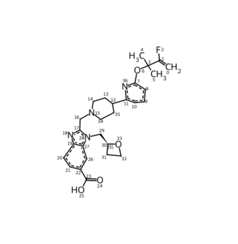 C=C(F)C(C)(C)Oc1cccc(C2CCN(Cc3nc4ccc(C(=O)O)cc4n3C[C@@H]3CCO3)CC2)n1